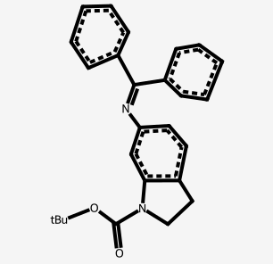 CC(C)(C)OC(=O)N1CCc2ccc(N=C(c3ccccc3)c3ccccc3)cc21